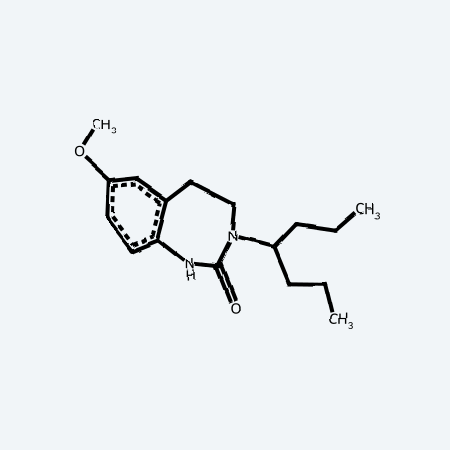 CCCC(CCC)N1CCc2cc(OC)ccc2NC1=O